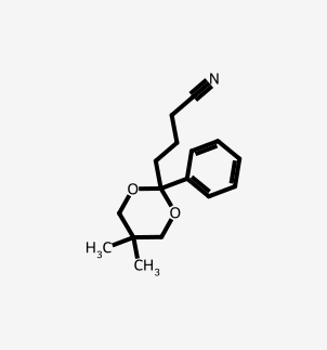 CC1(C)COC(CCCC#N)(c2ccccc2)OC1